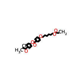 C=CC(=O)OCCCCCCOc1ccc(C(=O)Oc2ccc(C(=O)C(=C)C)cc2)cc1